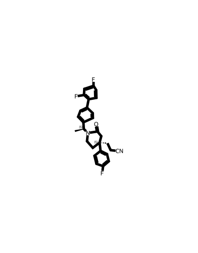 C[C@@H](c1ccc(-c2ccc(F)cc2F)cc1)N1CC[C@](CCC#N)(c2ccc(F)cc2)CC1=O